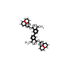 CC(=O)c1ccc(-c2ccc(C(C)=O)c(C(=O)O/C(=N/C3CCCCC3)NC3CCCCC3)c2)cc1C(=O)O/C(=N/C1CCCCC1)NC1CCCCC1